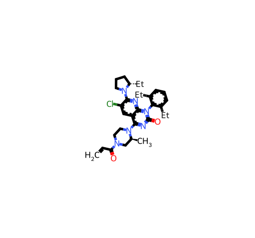 C=CC(=O)N1CCN(c2nc(=O)n(-c3c(CC)cccc3CC)c3nc(N4CCC[C@@H]4CC)c(Cl)cc23)[C@@H](C)C1